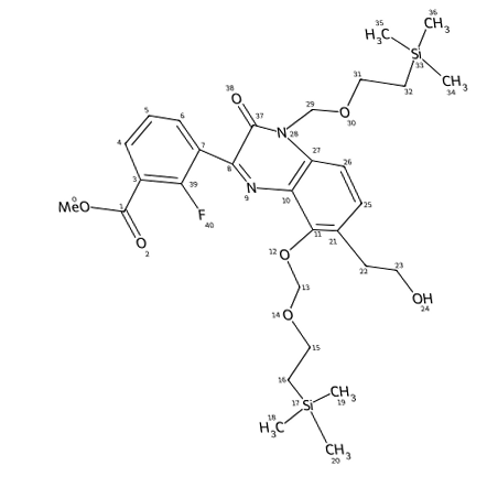 COC(=O)c1cccc(-c2nc3c(OCOCC[Si](C)(C)C)c(CCO)ccc3n(COCC[Si](C)(C)C)c2=O)c1F